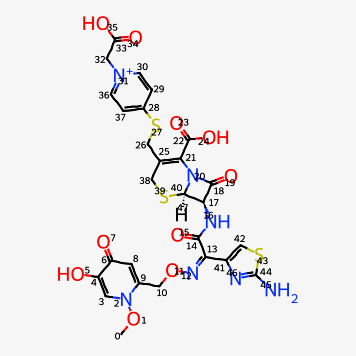 COn1cc(O)c(=O)cc1CO/N=C(\C(=O)N[C@@H]1C(=O)N2C(C(=O)O)=C(CSc3cc[n+](CC(=O)O)cc3)CS[C@H]12)c1csc(N)n1